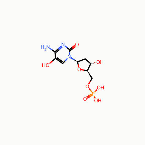 Nc1nc(=O)n([C@H]2C[C@H](O)[C@@H](COP(=O)(O)O)O2)cc1O